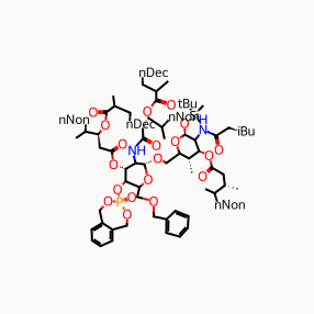 CCCCCCCCCCCC(C)C(=O)O[C@@H](CC(=O)NC1[C@H](OCC2O[C@@H](O[Si](C)(C)C(C)(C)C)C(NC(=O)C[C@H](C)CC)[C@@H](OC(=O)C[C@H](C)C(C)CCCCCCCCC)[C@@H]2C)OC(COCc2ccccc2)[C@@H](OP2(=O)OCc3ccccc3CO2)[C@@H]1OC(=O)C[C@H](OC(=O)C(C)CCCCCCCCCCC)C(C)CCCCCCCCC)C(C)CCCCCCCCC